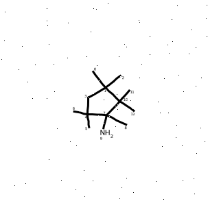 CC1(C)CC(C)(C)C(C)(N)C1(C)C